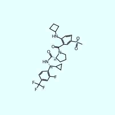 CS(=O)(=O)c1ccc(NC2CCC2)c(C(=O)N2CCC[C@@H]2C(=O)N[C@@H](c2ccc(C(F)(F)F)cc2F)C2CC2)c1